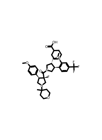 COC[C@H]1CN(C(=O)[C@]2(F)CN(C3(C)CCOCC3)C[C@H]2c2ccc(OC)cc2)C[C@@H]1c1ccc(C(F)(F)F)cc1N1CCC(C(=O)O)CC1